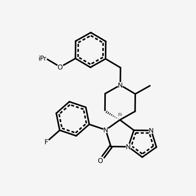 CC(C)Oc1cccc(CN2CC[C@]3(CC2C)c2nccn2C(=O)N3c2cccc(F)c2)c1